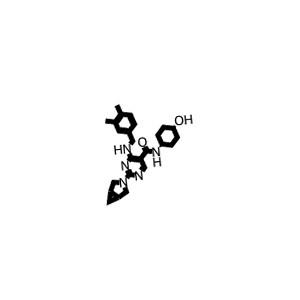 Cc1ccc(CNc2nc(N3CC4CC4C3)ncc2C(=O)N[C@H]2CC[C@H](O)CC2)cc1C